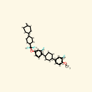 CC1CCC(C2CCC(C(F)(F)Oc3ccc(C4CCC(c5ccc(OC(F)(F)F)c(F)c5)CC4)c(F)c3)CC2)CC1